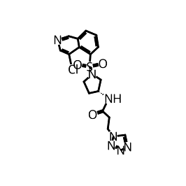 O=C(CCn1cnnn1)N[C@@H]1CCN(S(=O)(=O)c2cccc3cncc(Cl)c23)C1